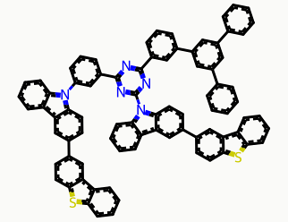 c1ccc(-c2cc(-c3ccccc3)cc(-c3cccc(-c4nc(-c5cccc(-n6c7ccccc7c7cc(-c8ccc9sc%10ccccc%10c9c8)ccc76)c5)nc(-n5c6ccccc6c6cc(-c7ccc8sc9ccccc9c8c7)ccc65)n4)c3)c2)cc1